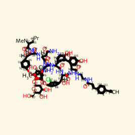 C#Cc1ccc(/C=C/C(=O)NCCNC(=O)C2NC(=O)[C@H]3NC(=O)[C@H](NC(=O)C4NC(=O)[C@H](CC(N)=O)NC(=O)[C@H](NC(=O)C(CC(C)C)NC)[C@H](O)c5ccc(cc5)Oc5cc4cc(c5O[C@@H]4O[C@H](CO)[C@@H](O)C(O)[C@H]4OC4C[C@](C)(N)[C@H](O)[C@H](C)O4)Oc4ccc(cc4Cl)[C@H]3O)c3ccc(O)c(c3)-c3c(O)cc(O)cc32)cc1